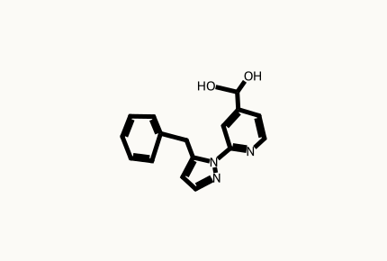 OC(O)c1ccnc(-n2nccc2Cc2ccccc2)c1